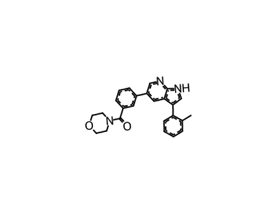 Cc1ccccc1-c1c[nH]c2ncc(-c3cccc(C(=O)N4CCOCC4)c3)cc12